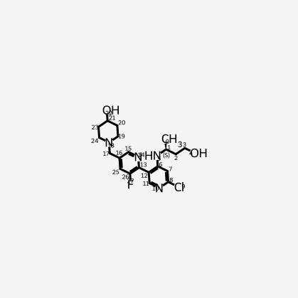 C[C@@H](CCO)Nc1cc(Cl)ncc1-c1ncc(CN2CCC(O)CC2)cc1F